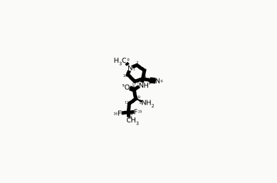 CN1CCC(C#N)(NC(=O)[C@@H](N)CC(C)(F)F)CC1